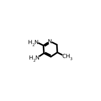 CC1C=C(N)C(N)=NC1